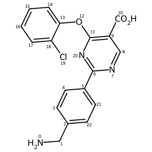 NCc1ccc(-c2ncc(C(=O)O)c(Oc3ccccc3Cl)n2)cc1